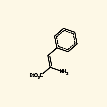 CCOC(=O)/C(N)=C/c1ccccc1